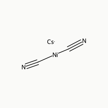 N#[C][Ni][C]#N.[Cs]